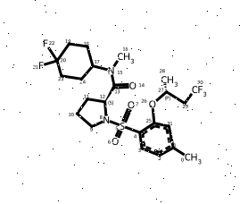 Cc1ccc(S(=O)(=O)N2CCC[C@H]2C(=O)N(C)C2CCC(F)(F)CC2)c(O[C@H](C)CC(F)(F)F)c1